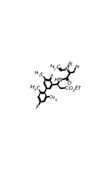 C=CN(C(C)=O)C(CC(C)C)C(=O)N[C@@H](CC(=O)OCC)c1cc(-c2c(C)cc(F)cc2C)cc(C)c1F